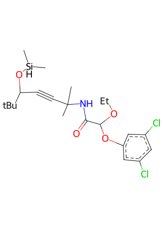 CCOC(Oc1cc(Cl)cc(Cl)c1)C(=O)NC(C)(C)C#CC(O[SiH](C)C)C(C)(C)C